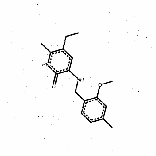 CCc1cc(NCc2ccc(C)cc2OC)c(=O)[nH]c1C